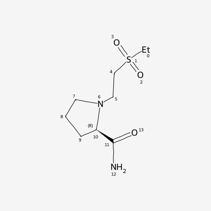 CCS(=O)(=O)CCN1CCC[C@@H]1C(N)=O